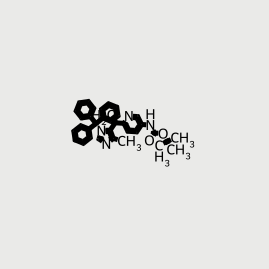 C=C(c1ccc(NC(=O)OC(C)(C)C)cn1)c1c(C)ncn1C(c1ccccc1)(c1ccccc1)c1ccccc1